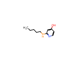 CCCCCPc1cc(O)ccn1